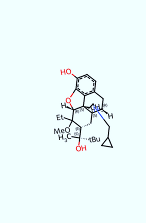 CCC1(OC)[C@@H]([C@](C)(O)C(C)(C)C)C[C@]2(C)[C@H]3Cc4ccc(O)c5c4[C@@]2(CCN3CC2CC2)[C@H]1O5